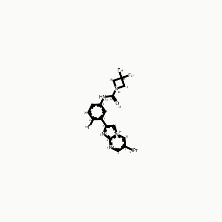 CC(C)c1cnc2nc(-c3cc(NC(=O)N4CC(F)(F)C4)ccc3F)cn2c1